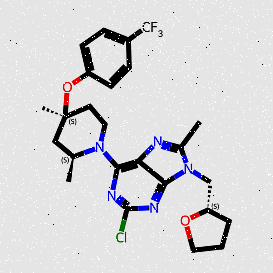 Cc1nc2c(N3CC[C@](C)(Oc4ccc(C(F)(F)F)cc4)C[C@@H]3C)nc(Cl)nc2n1C[C@@H]1CCCO1